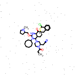 C=CC(=O)N1CCN(C2C3CC[C@@]4(Cc5ccccc5C(Cl)S4)C(=O)C3NC(OCC3CCCN3C)N2C2CCCCCCC2)CC1CC#N